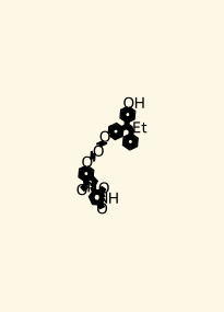 CCC(=C(c1ccc(O)cc1)c1ccc(OCCOCCOc2ccc3c(c2)CN(C2CCC(=O)NC2=O)C3=O)cc1)c1ccccc1